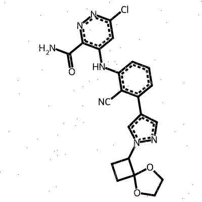 N#Cc1c(Nc2cc(Cl)nnc2C(N)=O)cccc1-c1cnn(C2CCC23OCCO3)c1